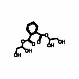 O=C(OC(O)CO)c1ccccc1C(=O)OC(O)CO